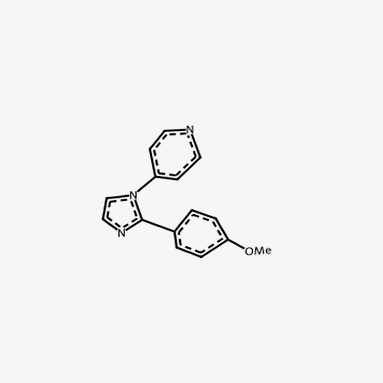 COc1ccc(-c2nccn2-c2ccncc2)cc1